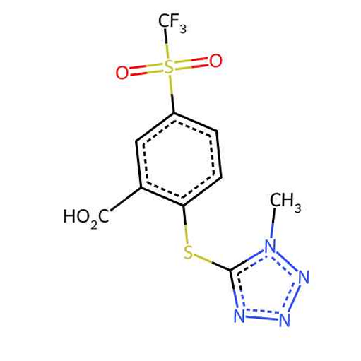 Cn1nnnc1Sc1ccc(S(=O)(=O)C(F)(F)F)cc1C(=O)O